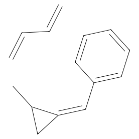 C=CC=C.CC1CC1=Cc1ccccc1